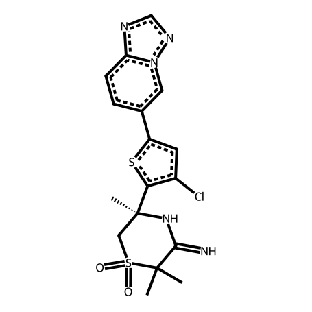 CC1(C)C(=N)N[C@](C)(c2sc(-c3ccc4ncnn4c3)cc2Cl)CS1(=O)=O